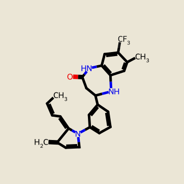 C=c1ccn(-c2cccc(C3CC(=O)Nc4cc(C(F)(F)F)c(C)cc4N3)c2)/c1=C/C=C\C